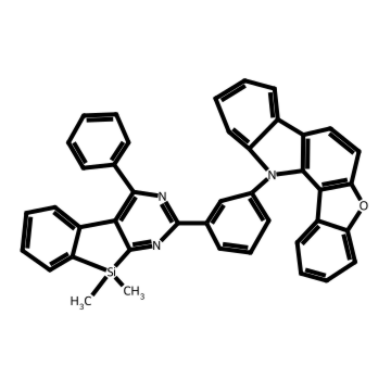 C[Si]1(C)c2ccccc2-c2c(-c3ccccc3)nc(-c3cccc(-n4c5ccccc5c5ccc6oc7ccccc7c6c54)c3)nc21